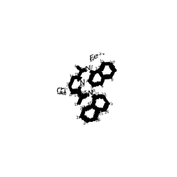 CC(=Nc1cccc2ccccc12)c1cccc(C(C)=Nc2cccc3ccccc23)n1.[Cl-].[Cl-].[Fe+2]